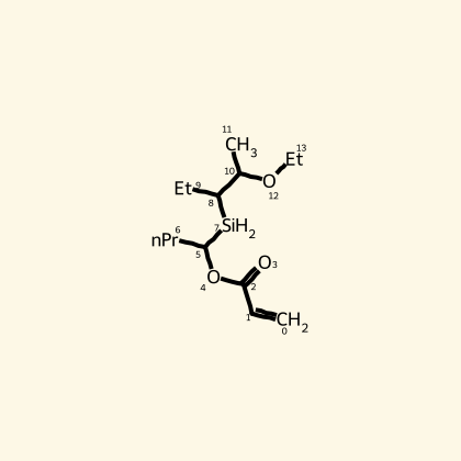 C=CC(=O)OC(CCC)[SiH2]C(CC)C(C)OCC